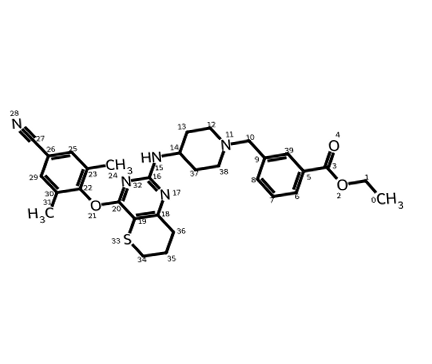 CCOC(=O)c1cccc(CN2CCC(Nc3nc4c(c(Oc5c(C)cc(C#N)cc5C)n3)SCCC4)CC2)c1